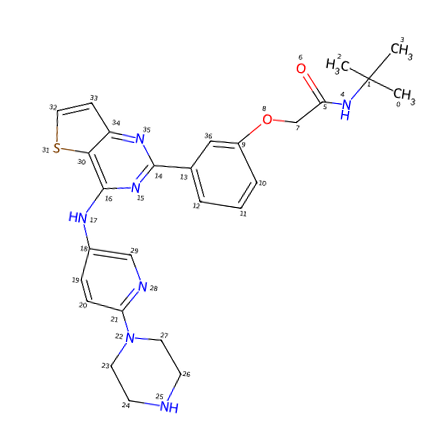 CC(C)(C)NC(=O)COc1cccc(-c2nc(Nc3ccc(N4CCNCC4)nc3)c3sccc3n2)c1